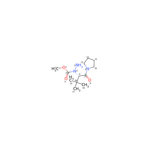 COC(=O)N(N)[C@H](C(=O)N1CCCC1)C(C)(C)C